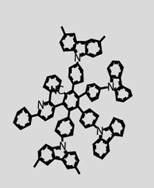 Cc1ccc2c(c1)c1cc(C)ccc1n2-c1ccc(-c2c(C#N)c(-c3ccc(-c4ccccc4)nc3-c3ccccc3)c(-c3ccc(-n4c5ccc(C)cc5c5cc(C)ccc54)cc3)c(-c3ccc(-n4c5ccccc5c5ccccc54)cc3)c2-c2ccc(-n3c4ccccc4c4ccccc43)cc2)cc1